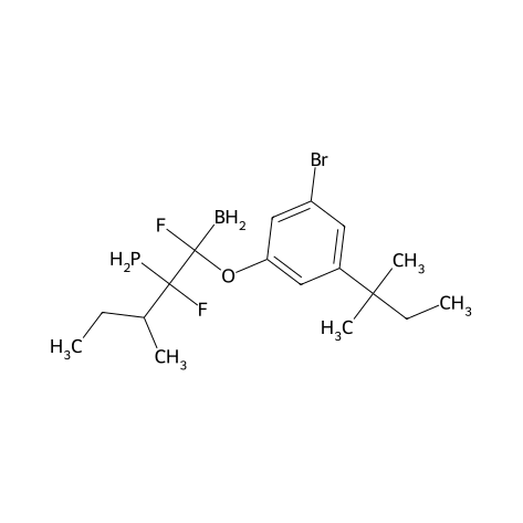 BC(F)(Oc1cc(Br)cc(C(C)(C)CC)c1)C(F)(P)C(C)CC